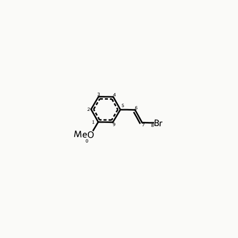 COc1cccc(C=CBr)c1